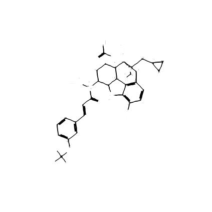 CC(=O)O[C@@]12CCC(N(C)C(=O)/C=C/c3cccc(OC(F)(F)F)c3)C3Oc4c(O)ccc5c4[C@@]31CCN(CC1CC1)[C@@H]2C5